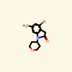 Cc1cc(Br)c2c(c1)N(C1CCOCC1)C(=O)C2